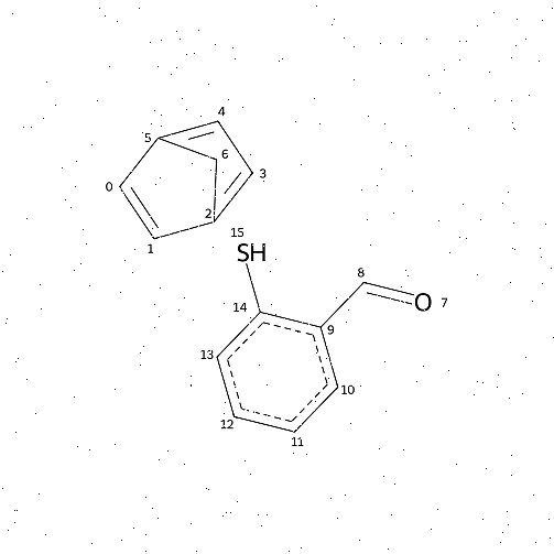 C1=CC2=CC=C1C2.O=Cc1ccccc1S